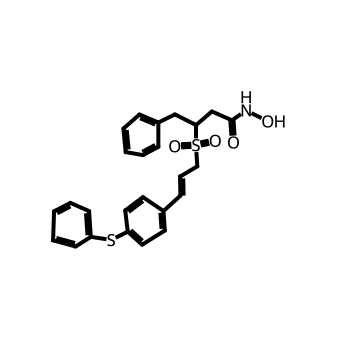 O=C(CC(Cc1ccccc1)S(=O)(=O)CC=Cc1ccc(Sc2ccccc2)cc1)NO